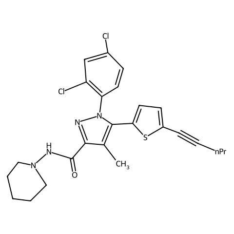 CCCC#Cc1ccc(-c2c(C)c(C(=O)NN3CCCCC3)nn2-c2ccc(Cl)cc2Cl)s1